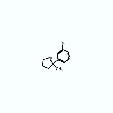 CC1(c2cncc(Br)c2)CCCN1